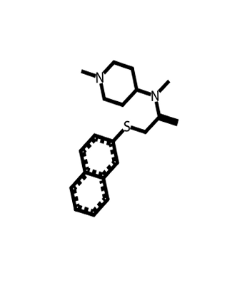 C=C(CSc1ccc2ccccc2c1)N(C)C1CCN(C)CC1